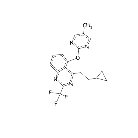 Cc1cnc(Oc2cccc3nc(C(F)(F)F)nc(CCC4CC4)c23)nc1